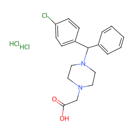 Cl.Cl.O=C(O)CN1CCN(C(c2ccccc2)c2ccc(Cl)cc2)CC1